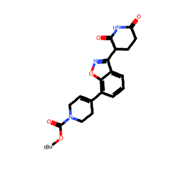 CC(C)(C)OC(=O)N1CC=C(c2cccc3c(C4CCC(=O)NC4=O)noc23)CC1